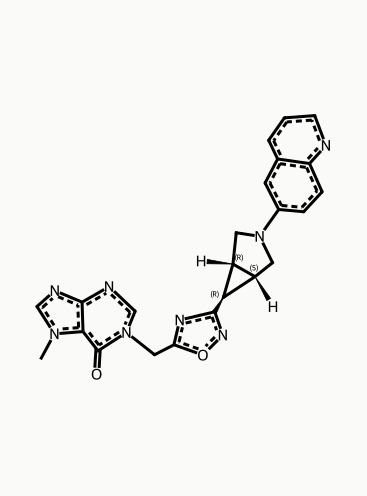 Cn1cnc2ncn(Cc3nc([C@H]4[C@@H]5CN(c6ccc7ncccc7c6)C[C@@H]54)no3)c(=O)c21